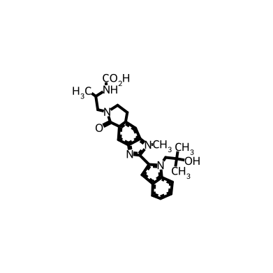 CC(CN1CCc2cc3c(cc2C1=O)nc(-c1cc2ccccc2n1CC(C)(C)O)n3C)NC(=O)O